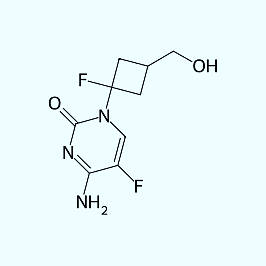 Nc1nc(=O)n(C2(F)CC(CO)C2)cc1F